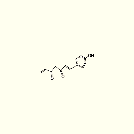 C=CC(=O)CC(=O)/C=C/c1ccc(O)cc1